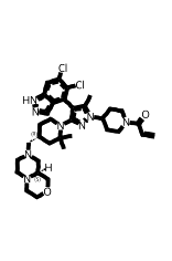 C=CC(=O)N1CCC(n2nc(N3CC[C@@H](CN4CCN5CCOC[C@@H]5C4)CC3(C)C)c(-c3c(Cl)c(Cl)cc4[nH]ncc34)c2C)CC1